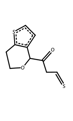 O=C(CC=S)C1OCCc2sccc21